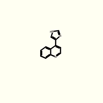 c1ccc2c(-c3c[nH]cn3)ccnc2c1